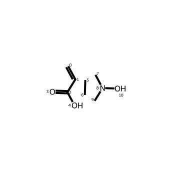 C=CC(=O)O.CC.CN(C)O